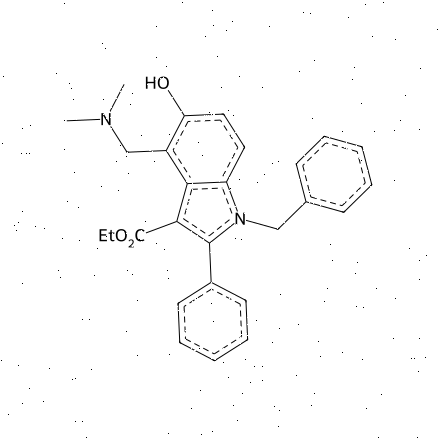 CCOC(=O)c1c(-c2ccccc2)n(Cc2ccccc2)c2ccc(O)c(CN(C)C)c12